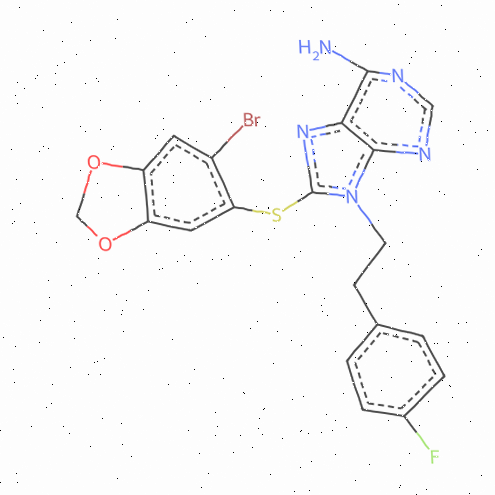 Nc1ncnc2c1nc(Sc1cc3c(cc1Br)OCO3)n2CCc1ccc(F)cc1